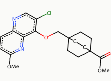 COC(=O)C12CCC(COc3c(Cl)cnc4ccc(OC)nc34)(CC1)CC2